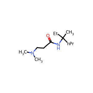 CCCC(C)(CC)NC(=O)CCN(C)C